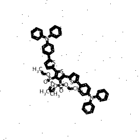 CCOP(=O)(OCC)c1c(-c2ccc(-c3ccc(N(c4ccccc4)c4ccccc4)cc3)s2)sc(-c2ccc(-c3ccc(N(c4ccccc4)c4ccccc4)cc3)s2)c1P(=O)(OCC)OCC